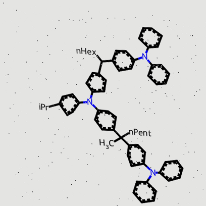 CCCCCCC(c1ccc(N(c2ccccc2)c2ccccc2)cc1)c1ccc(N(c2ccc(C(C)C)cc2)c2ccc(C(C)(CCCCC)c3ccc(N(c4ccccc4)c4ccccc4)cc3)cc2)cc1